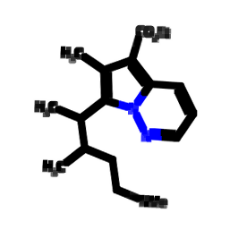 CCOC(=O)c1c(C)c(C(C)C(C)CCNC)n2ncccc12